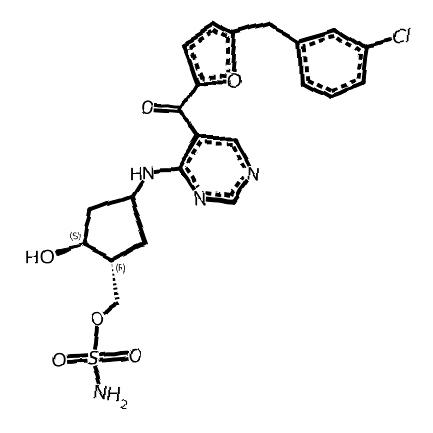 NS(=O)(=O)OC[C@H]1CC(Nc2ncncc2C(=O)c2ccc(Cc3cccc(Cl)c3)o2)C[C@@H]1O